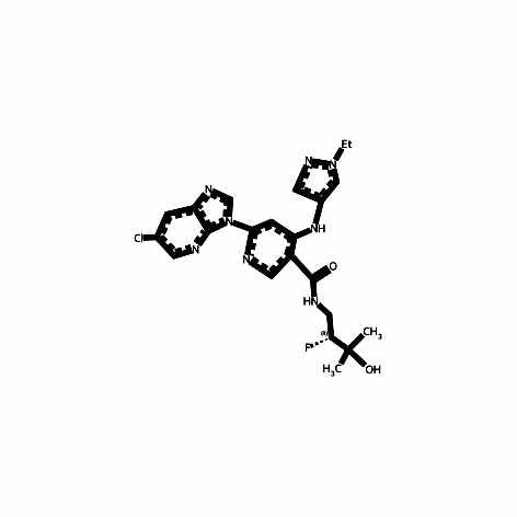 CCn1cc(Nc2cc(-n3cnc4cc(Cl)cnc43)ncc2C(=O)NC[C@@H](F)C(C)(C)O)cn1